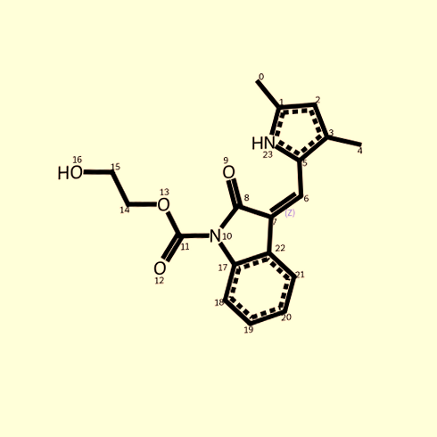 Cc1cc(C)c(/C=C2\C(=O)N(C(=O)OCCO)c3ccccc32)[nH]1